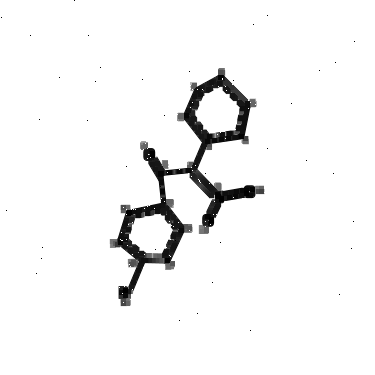 O=C(C(c1ccccc1)=S(=O)=O)c1ccc(Br)cc1